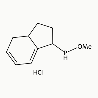 COPC1CCC2CC=CC=C21.Cl